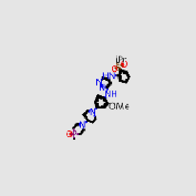 COc1cc(N2CCC(N3CCP(C)(=O)CC3)CC2)ccc1Nc1cc(Nc2ccccc2S(=O)(=O)C(C)C)cnn1